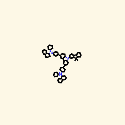 CC1(C)c2ccccc2-c2ccc(-n3c4ccc(-c5ccc(N(c6ccccc6)c6cccc7ccccc67)cc5)cc4c4cc(-c5ccc(N(c6ccccc6)c6cccc7ccccc67)cc5)ccc43)cc21